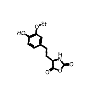 CCOc1cc(CCC2NC(=O)OC2=O)ccc1O